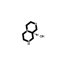 C1CN2CCOC[C@H]2CN1.Cl